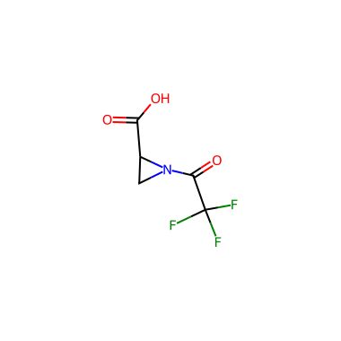 O=C(O)C1CN1C(=O)C(F)(F)F